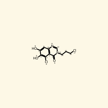 O=c1c2c(Cl)c(O)c(O)cc2ncn1CCCCl